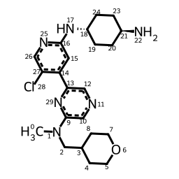 CN(CC1CCOCC1)c1cncc(-c2cc(N[C@H]3CC[C@H](N)CC3)ncc2Cl)n1